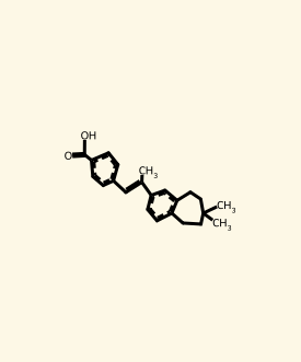 CC(=Cc1ccc(C(=O)O)cc1)c1ccc2c(c1)CCC(C)(C)CC2